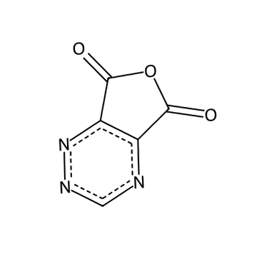 O=C1OC(=O)c2nncnc21